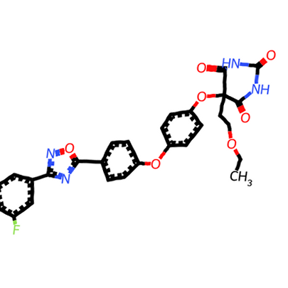 CCOCCC1(Oc2ccc(Oc3ccc(-c4nc(-c5cccc(F)c5)no4)cc3)cc2)C(=O)NC(=O)NC1=O